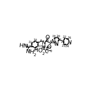 CC(=O)O.CCOC(C(=O)NCc1ccc(C(=N)N)cc1)n1ccc(-c2ccncc2)n1